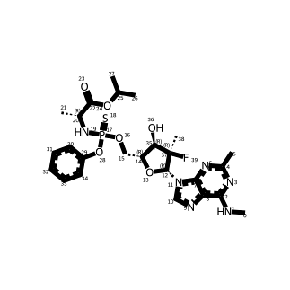 CNc1nc(C)nc2c1ncn2[C@@H]1O[C@H](COP(=S)(N[C@H](C)C(=O)OC(C)C)Oc2ccccc2)[C@@H](O)[C@@]1(C)F